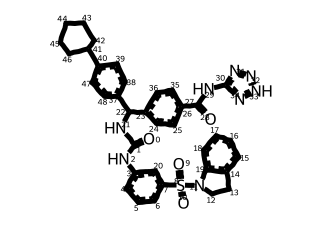 O=C(Nc1cccc(S(=O)(=O)N2CCc3ccccc32)c1)NC(c1ccc(C(=O)Nc2nn[nH]n2)cc1)c1ccc(C2CCCCC2)cc1